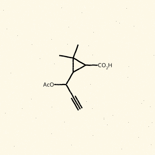 C#CC(OC(C)=O)C1C(C(=O)O)C1(C)C